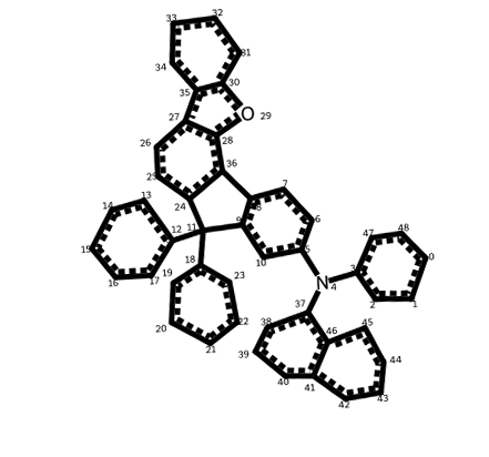 c1ccc(N(c2ccc3c(c2)C(c2ccccc2)(c2ccccc2)c2ccc4c(oc5ccccc54)c2-3)c2cccc3ccccc23)cc1